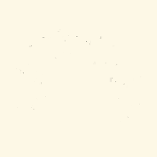 CC(=O)OCC(=O)NCC1CCN(Cc2ccc(Oc3nc4ccccc4s3)cc2)CC1